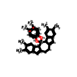 Cc1cc2c(cc1C)[CH]1C(=C2)CCC2=Cc3cc(C)c(C)cc3[CH]2[Zr]1([O]c1ccc(C(F)(F)F)cc1)[O]c1ccc(C(F)(F)F)cc1